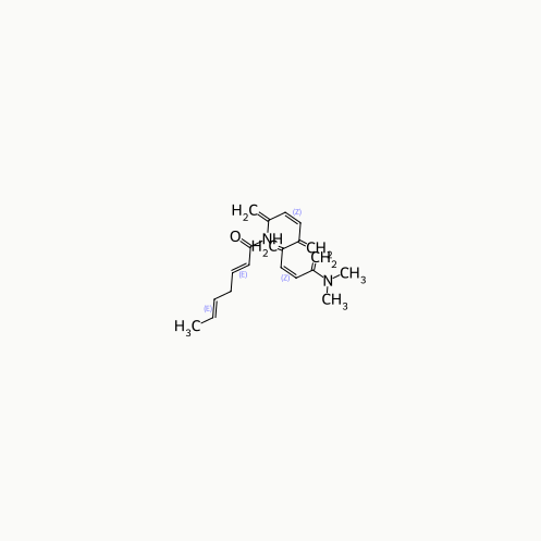 C=C(/C=C\C(=C)C(=C)/C=C\C(=C)N(C)C)NC(=O)/C=C/C/C=C/C